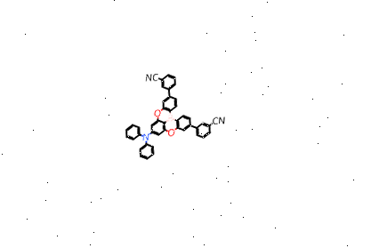 N#Cc1cccc(-c2ccc3c(c2)Oc2cc(N(c4ccccc4)c4ccccc4)cc4c2B3c2ccc(-c3cccc(C#N)c3)cc2O4)c1